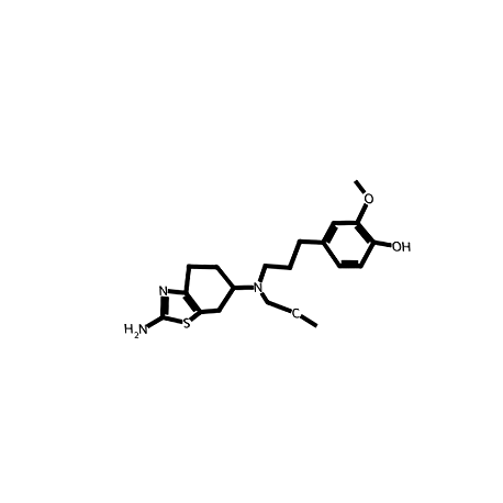 CCCN(CCCc1ccc(O)c(OC)c1)C1CCc2nc(N)sc2C1